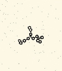 C1=CC2=CC=C(c3ccc(N(c4ccc(-c5ccc(-c6cccc7c6C=CCC7)cc5)cc4)c4cccc(-c5cccc6c5c5ccc7ccccc7c5n6-c5ccccc5)c4)cc3)CC2C=C1